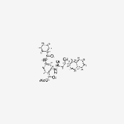 COC(=O)c1ccc(NC(=O)c2ccccc2)cc1NC(=O)CC(C)c1ccc2ccccc2c1